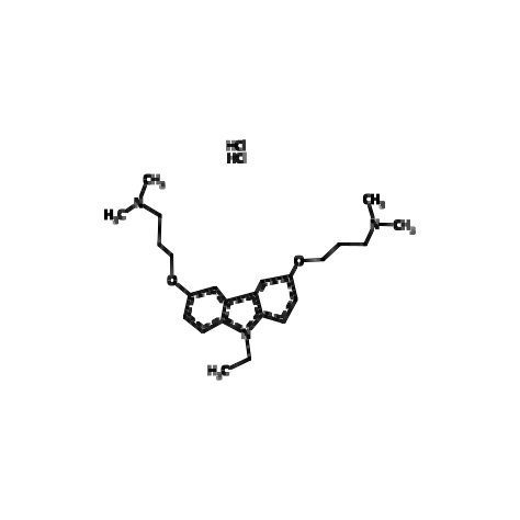 CCn1c2ccc(OCCCN(C)C)cc2c2cc(OCCCN(C)C)ccc21.Cl.Cl